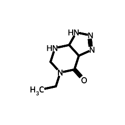 CCN1CNC2NN=NC2C1=O